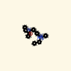 c1ccc(-c2cccc(-c3nc(-c4ccccc4)nc(-c4ccc(-c5cccc(-c6nc7c8ccccc8ccc7c7c6oc6ccccc67)c5)cc4)n3)c2)cc1